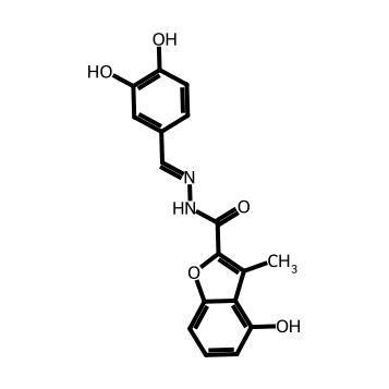 Cc1c(C(=O)NN=Cc2ccc(O)c(O)c2)oc2cccc(O)c12